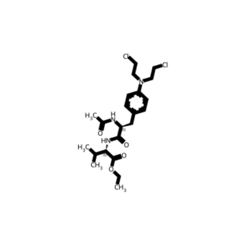 CCOC(=O)[C@@H](NC(=O)[C@H](Cc1ccc(N(CCCl)CCCl)cc1)NC(C)=O)C(C)C